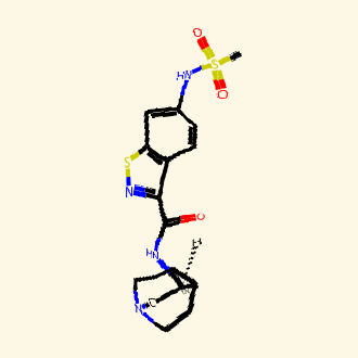 CS(=O)(=O)Nc1ccc2c(C(=O)N[C@@H]3CN4CCC3CC4)nsc2c1